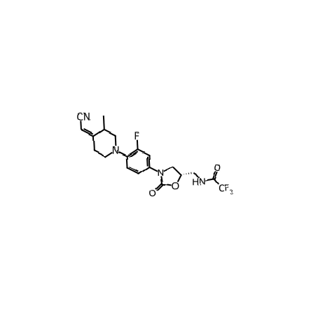 CC1CN(c2ccc(N3C[C@H](CNC(=O)C(F)(F)F)OC3=O)cc2F)CC/C1=C/C#N